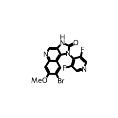 COc1cc2ncc3[nH]c(=O)n(-c4c(F)cncc4F)c3c2cc1Br